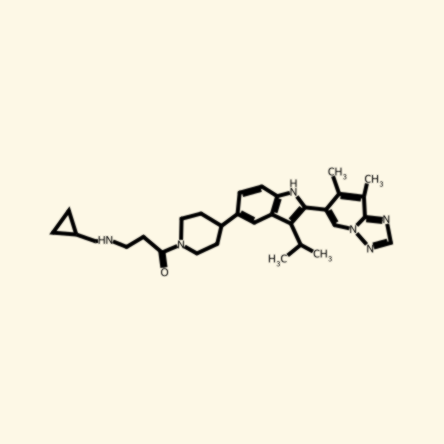 Cc1c(-c2[nH]c3ccc(C4CCN(C(=O)CCNCC5CC5)CC4)cc3c2C(C)C)cn2ncnc2c1C